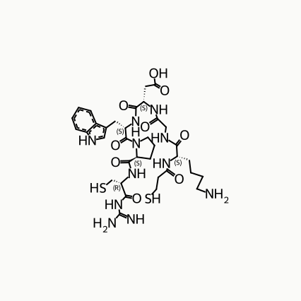 N=C(N)NC(=O)[C@H](CS)NC(=O)[C@@H]1CCCN1C(=O)[C@H](Cc1c[nH]c2ccccc12)NC(=O)[C@H](CC(=O)O)NC(=O)CNC(=O)[C@H](CCCCN)NC(=O)CCS